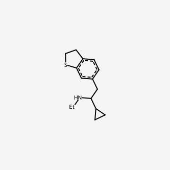 CCNC(Cc1ccc2c(c1)SCC2)C1CC1